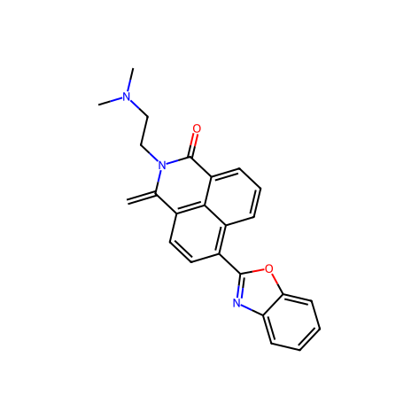 C=c1c2ccc(-c3nc4ccccc4o3)c3cccc(c(=O)n1CCN(C)C)c32